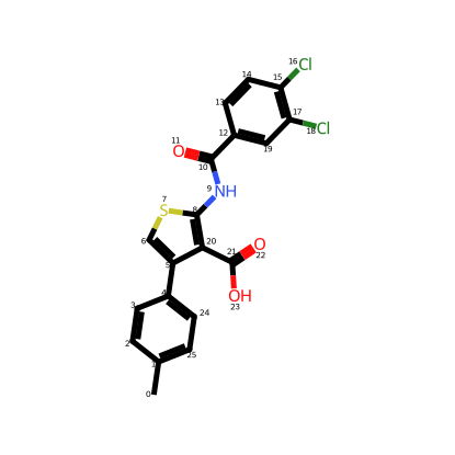 Cc1ccc(-c2csc(NC(=O)c3ccc(Cl)c(Cl)c3)c2C(=O)O)cc1